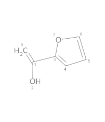 C=C(O)c1ccco1